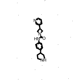 O=C(Nc1ccc(C2CCNCC2)cc1)N1CC(c2cccnc2)C1